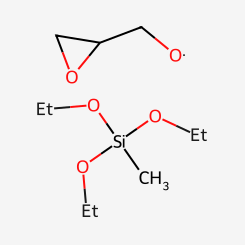 CCO[Si](C)(OCC)OCC.[O]CC1CO1